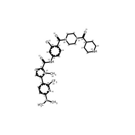 CN(C)c1ccc(-c2cnc(C(=O)Nc3ccc(C(=O)N4CCN(C(=O)C5CCNCC5)CC4)c(Cl)c3)n2C)c(C(F)(F)F)n1